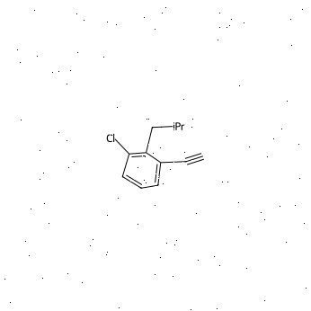 C#Cc1cccc(Cl)c1CC(C)C